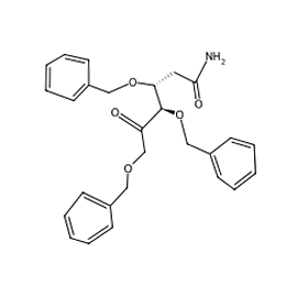 NC(=O)C[C@@H](OCc1ccccc1)[C@@H](OCc1ccccc1)C(=O)COCc1ccccc1